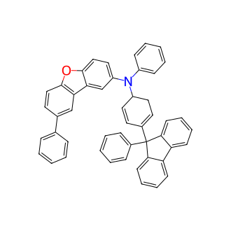 C1=CC(N(c2ccccc2)c2ccc3oc4ccc(-c5ccccc5)cc4c3c2)CC=C1C1(c2ccccc2)c2ccccc2-c2ccccc21